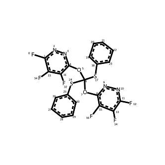 Fc1nnc(OC(Oc2nnc(F)c(F)c2F)(Sc2ccccc2)Sc2ccccc2)c(F)c1F